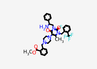 COC(=O)c1ccccc1CN1CCN(c2c(C)n(Cc3c(F)cccc3C(F)(F)F)c(=O)n(CC(N)c3ccccc3)c2=O)CC1